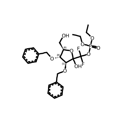 CCOP(=O)(OCC)OC(F)(F)C1(O)O[C@H](CO)[C@@H](OCc2ccccc2)[C@@H]1OCc1ccccc1